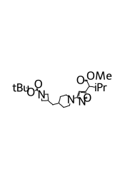 COC(=O)C(c1cc(N2CCC(CC3CN(C(=O)OC(C)(C)C)C3)CC2)no1)C(C)C